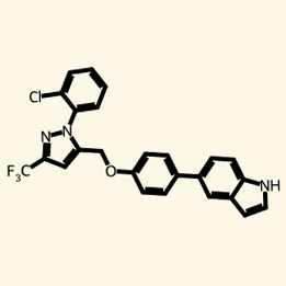 FC(F)(F)c1cc(COc2ccc(-c3ccc4[nH]ccc4c3)cc2)n(-c2ccccc2Cl)n1